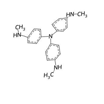 CNc1ccc(N(c2ccc(NC)cc2)c2ccc(NC)cc2)cc1